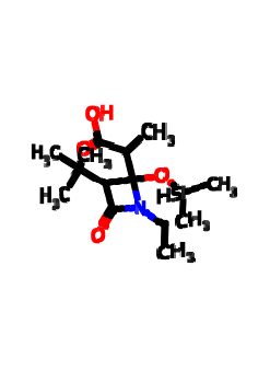 CCN1C(=O)C(C(C)(C)C)C1(O[SiH](C)C)C(C)C(=O)O